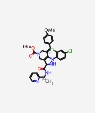 COc1ccc(/C=C2\CN(C(=O)OC(C)(C)C)CC3=C2N(c2ccc(Cl)cc2Cl)NC3C(=O)N[C@H](C)c2ccccn2)cc1